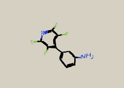 Nc1cccc(-c2c(F)c(F)nc(F)c2F)c1